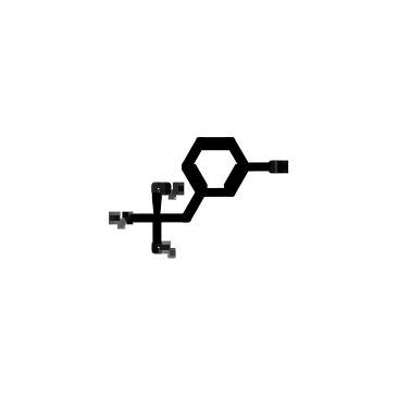 C[C@](N)(Cc1cccc(O)c1)C(=O)O